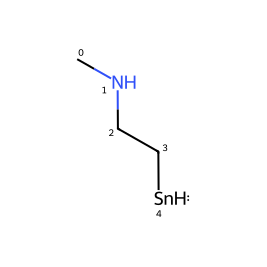 CNC[CH2][SnH]